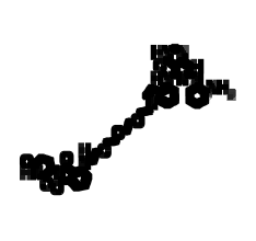 N[C@H]1CCCC[C@H]1Nc1cc2nc[nH]c(=O)c2c(Nc2cccc3c2ccn3CCOCCOCCOCCNc2cccc3c2C(=O)N(C2CCC(=O)NC2=O)C3=O)n1